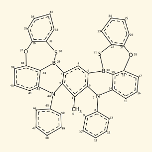 Cc1c2c(cc3c1N(c1ccccc1)c1cccc4c1B3Sc1ccccc1O4)B1Sc3ccccc3Oc3cccc(c31)N2c1ccccc1